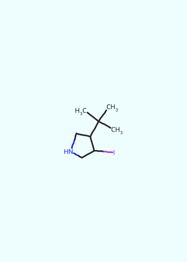 CC(C)(C)C1CNCC1I